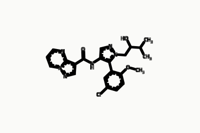 COc1ccc(Cl)cc1-c1c(NC(=O)c2cnn3cccnc23)cnn1CC(O)C(C)C